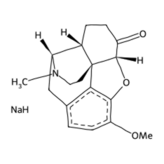 COc1ccc2c3c1O[C@H]1C(=O)CC[C@H]4[C@@H](C2)N(C)CC[C@]314.[NaH]